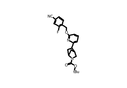 CC(C)(C)OC(=O)N1CC2CC1CC2c1cccc(OCc2ccc(C#N)cc2F)n1